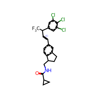 O=C(NCC1CCc2cc(/C=C/C(c3cc(Cl)c(Cl)c(Cl)c3)C(F)(F)F)ccc21)C1CC1